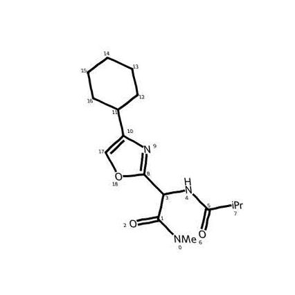 CNC(=O)C(NC(=O)C(C)C)c1nc(C2CCCCC2)co1